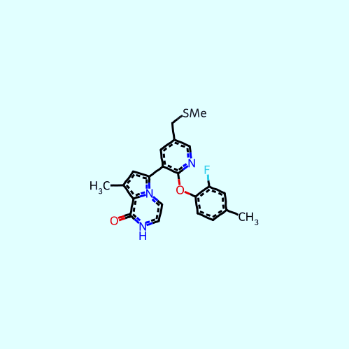 CSCc1cnc(Oc2ccc(C)cc2F)c(-c2cc(C)c3c(=O)[nH]ccn23)c1